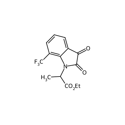 CCOC(=O)C(C)N1C(=O)C(=O)c2cccc(C(F)(F)F)c21